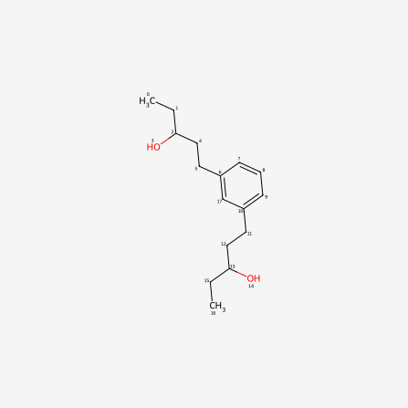 CCC(O)CCc1cccc(CCC(O)CC)c1